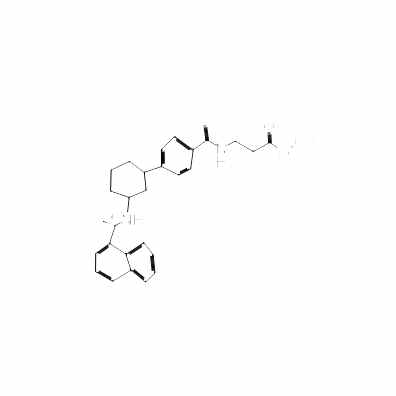 COC(=O)CCNC(=O)c1ccc(C2CCCC(N[C@H](C)c3cccc4ccccc34)C2)cc1